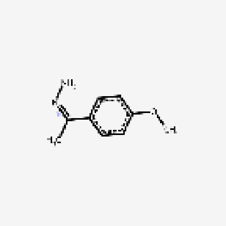 COc1ccc(/C(C)=N\N)cc1